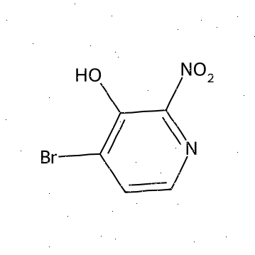 O=[N+]([O-])c1nccc(Br)c1O